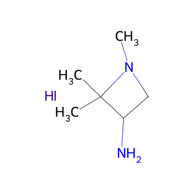 CN1CC(N)C1(C)C.I